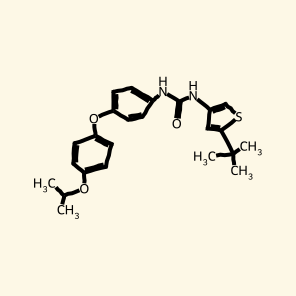 CC(C)Oc1ccc(Oc2ccc(NC(=O)Nc3csc(C(C)(C)C)c3)cc2)cc1